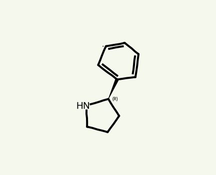 [c]1cccc([C@H]2CCCN2)c1